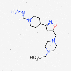 NN=CN1CCC(C2=NOC(CN3CCN(CC(=O)O)CC3)C2)CC1